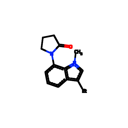 CCc1cn(C)c2c(N3CCCC3=O)cccc12